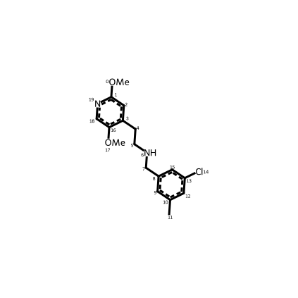 COc1cc(CCNCc2cc(C)cc(Cl)c2)c(OC)cn1